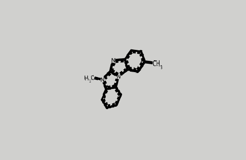 Cc1ccc2nc3n(C)c4ccccc4n3c2c1